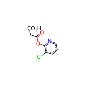 O=C(O)CC(=O)Oc1ncccc1Cl